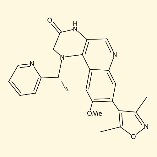 COc1cc2c3c(cnc2cc1-c1c(C)noc1C)NC(=O)CN3[C@H](C)c1ccccn1